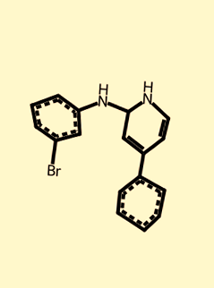 Brc1cccc(NC2C=C(c3ccccc3)C=CN2)c1